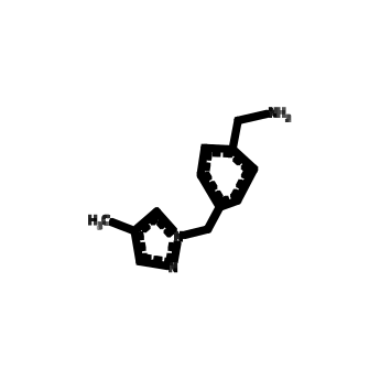 Cc1cnn(Cc2ccc(CN)cc2)c1